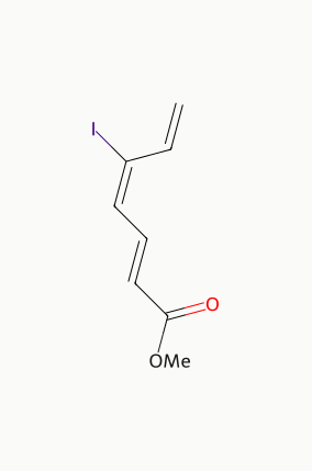 C=C/C(I)=C\C=C\C(=O)OC